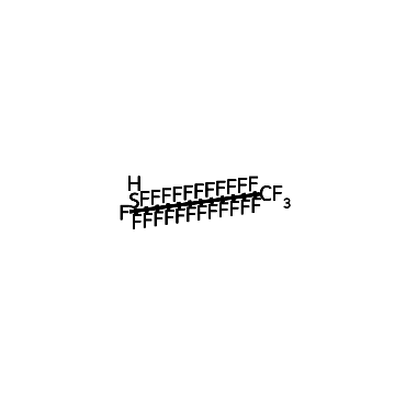 FC(F)(F)C(F)(F)C(F)(F)C(F)(F)C(F)(F)C(F)(F)C(F)(F)C(F)(F)C(F)(F)C(F)(F)C(F)(F)C(F)(F)C(F)(F)S